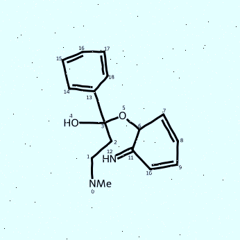 CNCCC(O)(OC1C=CC=CC1=N)c1ccccc1